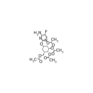 CC(=O)OC[C@H]1C[C@@H](Oc2ncc(F)c(N)n2)[C@H](OC(C)=O)[C@@H](OC(C)=O)[C@@H]1OC(C)=O